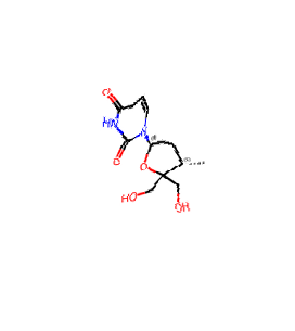 C[C@H]1C[C@H](n2ccc(=O)[nH]c2=O)OC1(CO)CO